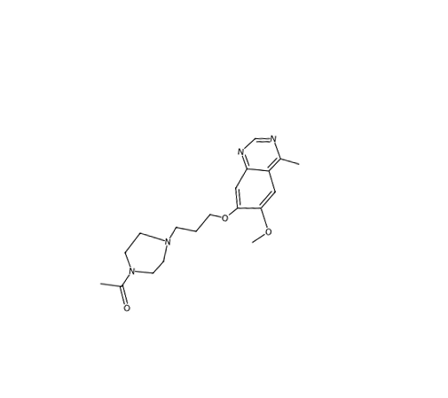 COc1cc2c(C)ncnc2cc1OCCCN1CCN(C(C)=O)CC1